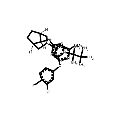 BC(B)(B)C(B)(B)n1nc(N[C@@H]2[C@@H]3CC[C@H]2CN(c2cnnc(OC)c2)C3)nc1Oc1ccc(F)c(Cl)c1